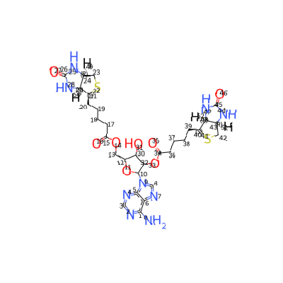 Nc1ncnc2c1ncn2C1OC(COC(=O)CCCC[C@@H]2SC[C@@H]3NC(=O)N[C@@H]32)C(O)C1OC(=O)CCCC[C@@H]1SC[C@@H]2NC(=O)N[C@@H]21